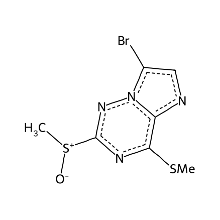 CSc1nc([S+](C)[O-])nn2c(Br)cnc12